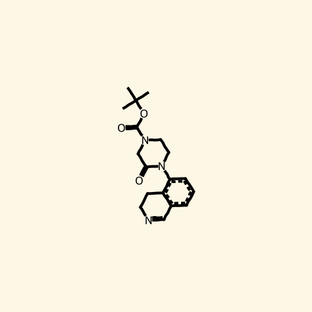 CC(C)(C)OC(=O)N1CCN(c2cccc3c2CCN=C3)C(=O)C1